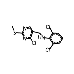 CSc1ncc(CNc2c(Cl)cccc2Cl)c(Cl)n1